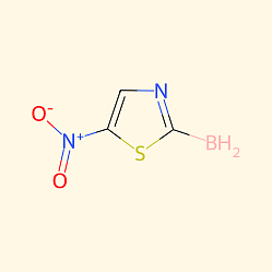 Bc1ncc([N+](=O)[O-])s1